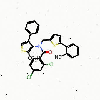 N#Cc1ccccc1-c1ccc(CN(C(=O)c2ccc(Cl)cc2Cl)c2c(-c3ccccc3)csc2C(=O)O)s1